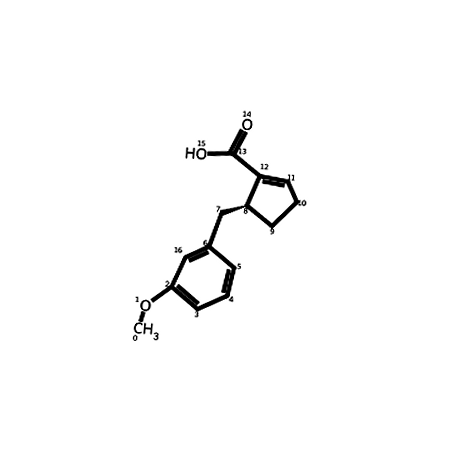 COc1cccc(C[C@@H]2CCC=C2C(=O)O)c1